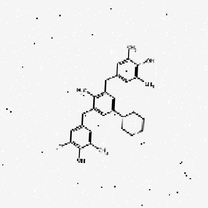 Cc1cc(Cc2cc(C3CCCCC3)cc(Cc3cc(C)c(O)c(C)c3)c2C)cc(C)c1O